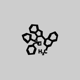 Cc1cc(C2=Cc3ccccc3C2[Si](Cl)(c2ccccc2)c2ccccc2)c2ccccc2c1